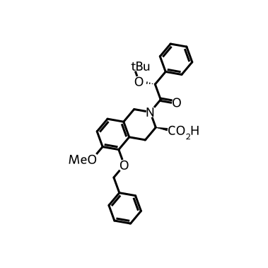 COc1ccc2c(c1OCc1ccccc1)C[C@H](C(=O)O)N(C(=O)[C@H](OC(C)(C)C)c1ccccc1)C2